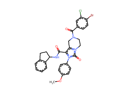 COc1ccc(-n2c(C(=O)NC3CCc4ccccc43)c3n(c2=O)CCN(C(=O)c2ccc(Br)c(Cl)c2)C3)cc1